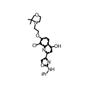 CC(C)Nc1nc(-c2cc(O)c3ccc(OCCN4CCOCC4(C)C)c(Cl)c3n2)co1